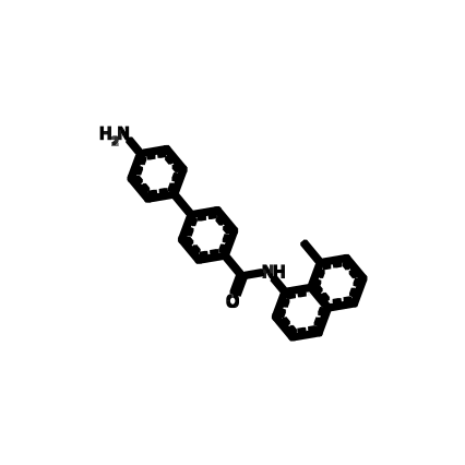 Cc1cccc2cccc(NC(=O)c3ccc(-c4ccc(N)cc4)cc3)c12